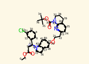 CCOC(=O)/C=C(/c1cccc(Cl)c1)n1ccc2cc(OCCc3ccc4c(n3)N(C(=O)OC(C)(C)C)CCC4)ccc21